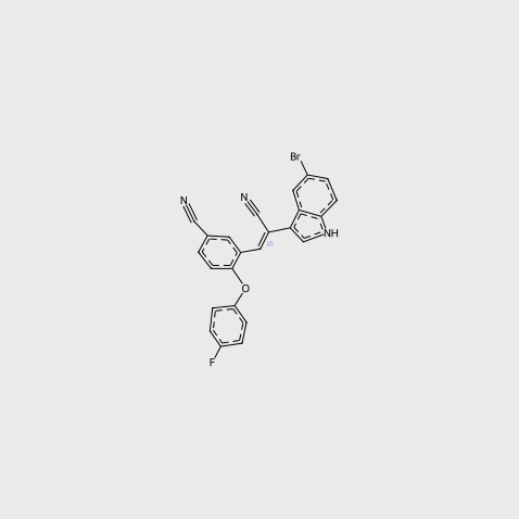 N#C/C(=C\c1cc(C#N)ccc1Oc1ccc(F)cc1)c1c[nH]c2ccc(Br)cc12